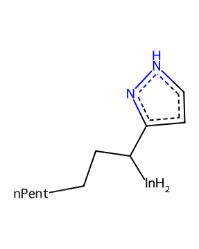 CCCCCCC[CH]([InH2])c1cc[nH]n1